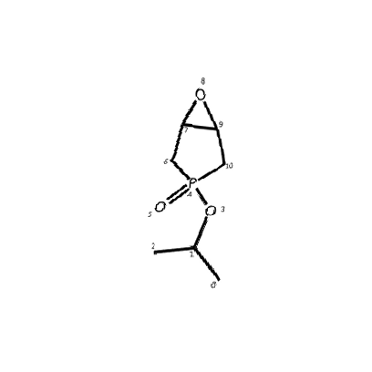 CC(C)OP1(=O)CC2OC2C1